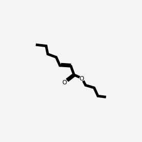 CCCCC=CC(=O)OCCCC